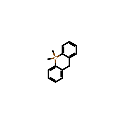 CS1(C)c2ccccc2Cc2ccccc21